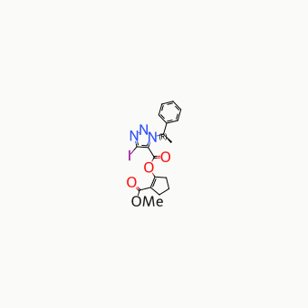 COC(=O)C1=C(OC(=O)c2c(I)nnn2[C@H](C)c2ccccc2)CCC1